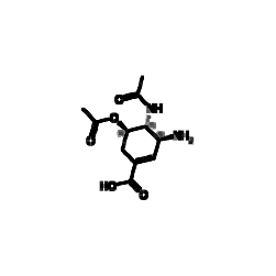 CC(=O)N[C@@H]1[C@@H](N)C=C(C(=O)O)C[C@H]1OC(C)=O